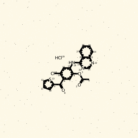 CC(=O)Oc1cc(C(=O)c2cccs2)c(Cl)cc1Nc1ncnc2ccccc12.Cl